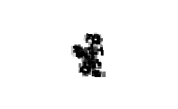 CC(C)(C)CN1C(=O)C(CC(=O)NCc2ccccc2F)N(Cc2ccncc2)Cc2ccccc21